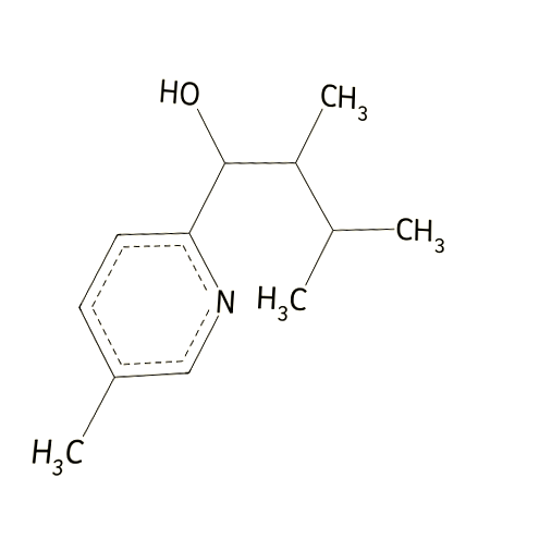 Cc1ccc(C(O)C(C)C(C)C)nc1